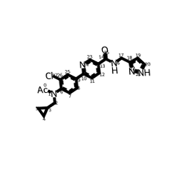 CC(=O)N(CC1CC1)c1ccc(-c2ccc(C(=O)NCc3cc[nH]n3)cn2)cc1Cl